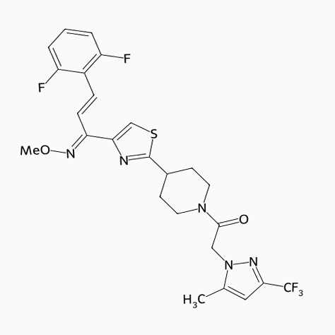 CO/N=C(\C=C\c1c(F)cccc1F)c1csc(C2CCN(C(=O)Cn3nc(C(F)(F)F)cc3C)CC2)n1